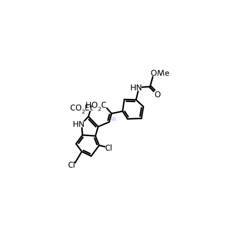 CCOC(=O)c1[nH]c2cc(Cl)cc(Cl)c2c1/C=C(\C(=O)O)c1cccc(NC(=O)OC)c1